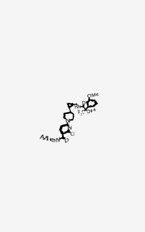 CNC(=O)c1ccc(N2CCC([C@H]3C[C@H]3CNC(=O)C(O)(c3cccc(OC)c3)C(F)(F)F)CC2)nc1Cl